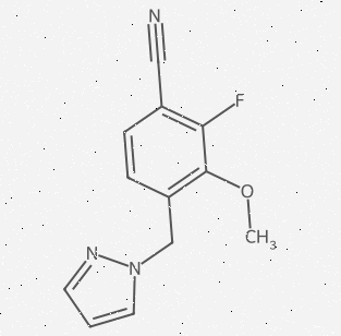 COc1c(Cn2cccn2)ccc(C#N)c1F